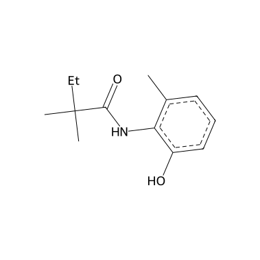 CCC(C)(C)C(=O)Nc1c(C)cccc1O